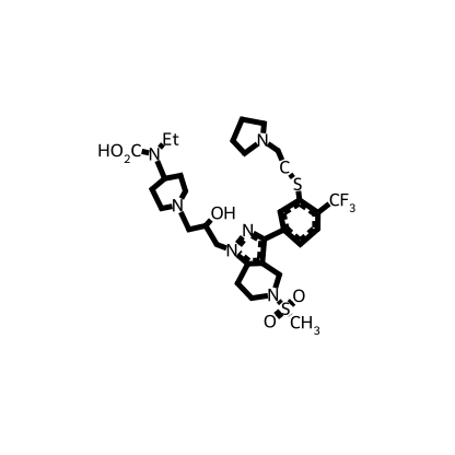 CCN(C(=O)O)C1CCN(CC(O)Cn2nc(-c3ccc(C(F)(F)F)c(SCCN4CCCC4)c3)c3c2CCN(S(C)(=O)=O)C3)CC1